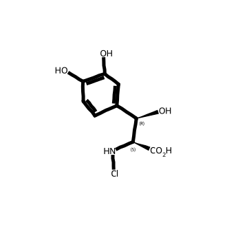 O=C(O)[C@@H](NCl)[C@H](O)c1ccc(O)c(O)c1